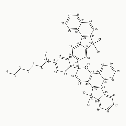 CCCCCCN(C)c1ccc(C2(c3ccc4c(c3)C(C)(C)c3ccc5ccccc5c3-4)C=Cc3c4c(c5ccccc5c3O2)-c2ccccc2C4(C)C)cc1